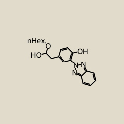 CCCCCCOC(O)Cc1ccc(O)c(-n2nc3ccccc3n2)c1